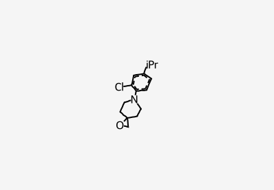 CC(C)c1ccc(N2CCC3(CC2)CO3)c(Cl)c1